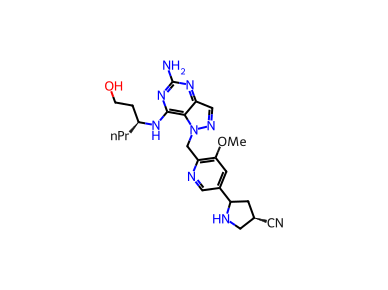 CCC[C@@H](CCO)Nc1nc(N)nc2cnn(Cc3ncc(C4C[C@@H](C#N)CN4)cc3OC)c12